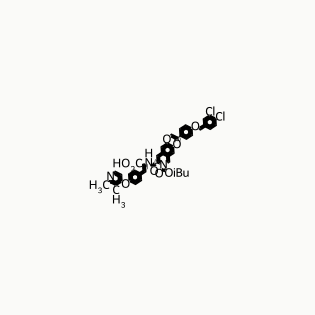 Cc1nccc(Oc2ccc(C[C@H](NC(=O)[C@@H]3Cc4cc5c(cc4CN3C(=O)OCC(C)C)O[C@@H](c3ccc(OCc4ccc(Cl)c(Cl)c4)cc3)CO5)C(=O)O)cc2)c1C